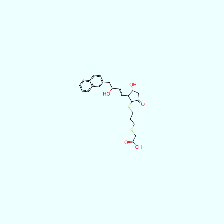 O=C(O)CSCCCSC1C(=O)C[C@@H](O)[C@@H]1C=CC(O)Cc1ccc2ccccc2c1